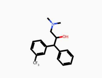 CN(C)CC(O)C(c1ccccc1)c1cccc(C(F)(F)F)c1